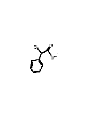 O=C(OCl)C(Cl)c1ccccc1